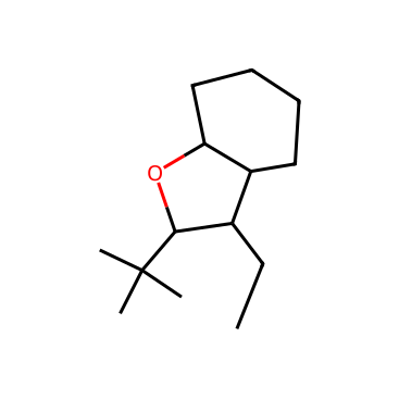 CCC1C2CCCCC2OC1C(C)(C)C